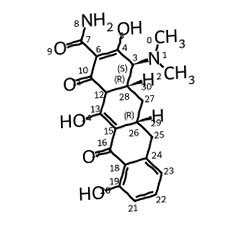 CN(C)[C@@H]1C(O)=C(C(N)=O)C(=O)C2C(O)=C3C(=O)c4c(O)cccc4C[C@H]3C[C@H]21